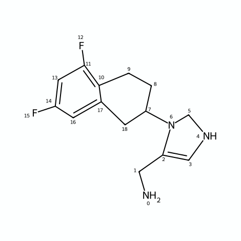 NCC1=CNCN1C1CCc2c(F)cc(F)cc2C1